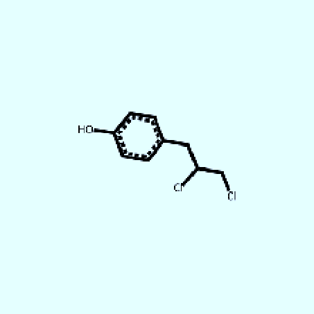 Oc1ccc(CC(Cl)CCl)cc1